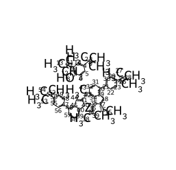 CC(C)(C)c1ccc(O)c(C(C)(C)C)c1.CCC1=Cc2c(-c3ccc(C(C)(C)C)cc3)cccc2[CH]1[Zr](=[C](C)C)[CH]1C(CC)=Cc2c(-c3ccc(C(C)(C)C)cc3)cccc21